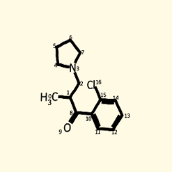 CC(CN1CCCC1)C(=O)c1ccccc1Cl